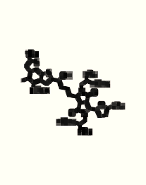 CCCCCCc1c(C)c2cc(C(C)(C)C)sc2c2sc(/C(O)=C/C=C/C3=C4C(=O)N(CC(CCCC)CCCCCC)C(c5ccc(C(C)(C)C)o5)=C4C(=O)N3CC(CCCC)CCCCCC)cc12